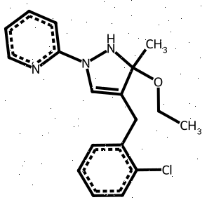 CCOC1(C)NN(c2ccccn2)C=C1Cc1ccccc1Cl